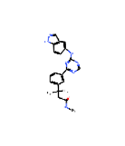 CNC(=O)CC(C)(C)c1cccc(-c2ncnc(Nc3ccc4[nH]ncc4c3)n2)c1